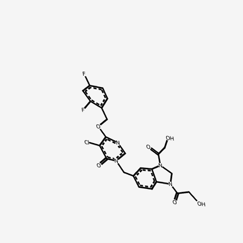 O=C(CO)N1CN(C(=O)CO)c2cc(Cn3cnc(OCc4ccc(F)cc4F)c(Cl)c3=O)ccc21